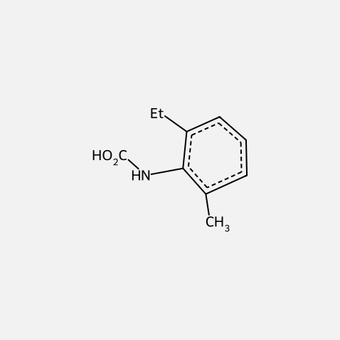 CCc1cccc(C)c1NC(=O)O